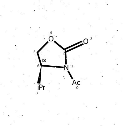 CC(=O)N1C(=O)OC[C@@H]1C(C)C